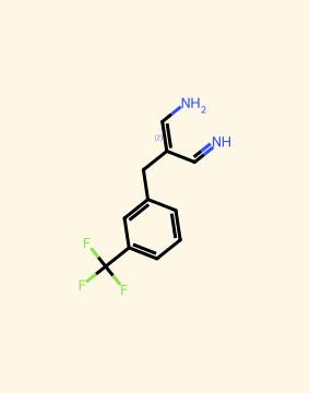 N=C/C(=C\N)Cc1cccc(C(F)(F)F)c1